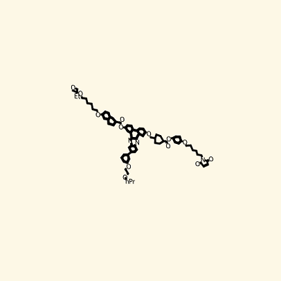 CCCOCCOc1cccc(-c2ccc3nc4c5cc(OCC6CCC(C(=O)Oc7ccc(OCCCCCCN8C(=O)C=CC8=O)cc7)CC6)ccc5c5ccc(OC(=O)c6ccc7cc(OCCCCCCOC8(CC)COC8)ccc7c6)cc5c4nc3c2)c1